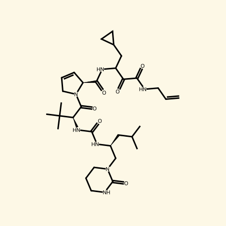 C=CCNC(=O)C(=O)C(CC1CC1)NC(=O)[C@@H]1C=CCN1C(=O)[C@@H](NC(=O)N[C@@H](CC(C)C)CN1CCCNC1=O)C(C)(C)C